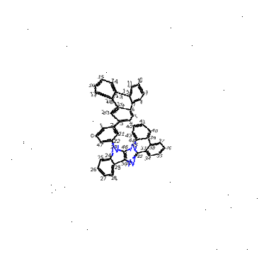 c1cc(-c2ccc3c4ccccc4c4ccccc4c3c2)cc(-n2c3ccccc3c3nc4c5ccccc5c5ccccc5n4c32)c1